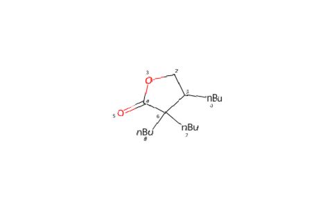 CCCCC1COC(=O)C1(CCCC)CCCC